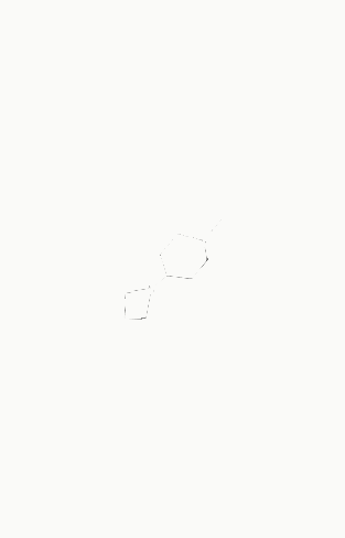 CN1CCC(N2CCC2)CC1